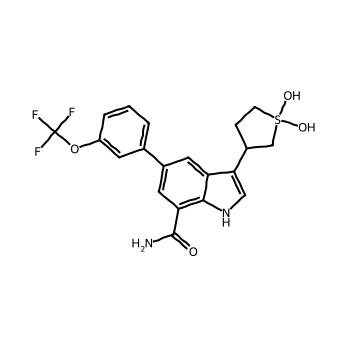 NC(=O)c1cc(-c2cccc(OC(F)(F)F)c2)cc2c(C3CCS(O)(O)C3)c[nH]c12